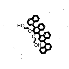 OCCOc1c(OCCO)c(-c2ccc(-c3cccc4ccccc34)c3ccccc23)c2ccccc2c1-c1cccc2ccccc12